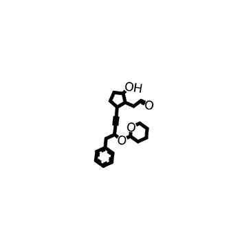 O=CCC1C(O)CCC1C#CC(Cc1ccccc1)OC1CCCCO1